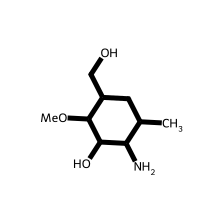 COC1C(CO)CC(C)C(N)C1O